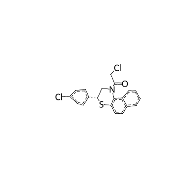 O=C(CCl)N1C[C@@H](c2ccc(Cl)cc2)Sc2ccc3ccccc3c21